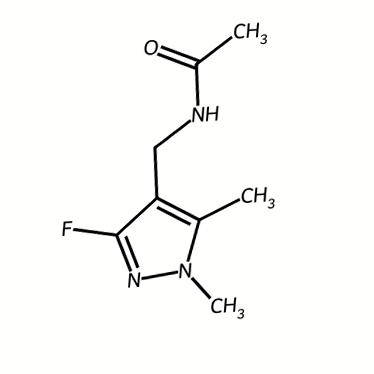 CC(=O)NCc1c(F)nn(C)c1C